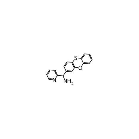 NC(c1ccc2c(c1)Oc1ccccc1S2)c1ccccn1